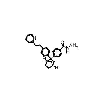 NNC(=O)c1ccc([C@@]2(c3ccc(CCc4ccccn4)cc3)C[C@@H]3CC[C@H]2C3)cc1